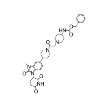 Cn1c(=O)n(C2CCC(=O)NC2=O)c2ccc(C3CCN(C(=O)CN4CCC(NC(=O)OCc5ccccc5)CC4)CC3)cc21